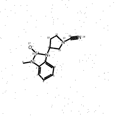 CN1c2ccccc2N(C2CCN(C#N)C2)[S+]1[O-]